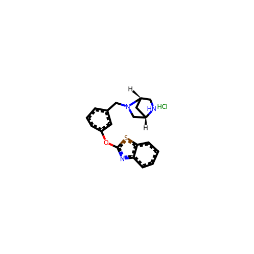 Cl.c1cc(CN2C[C@@H]3C[C@H]2CN3)cc(Oc2nc3ccccc3s2)c1